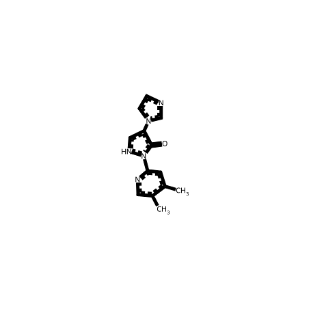 Cc1cnc(-n2[nH]cc(-n3ccnc3)c2=O)cc1C